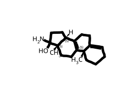 C[C@]12CCCC=C1CCC1=C2CC[C@@]2(C)[C@H]1CCC2(N)O